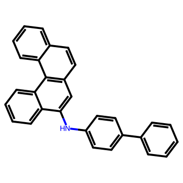 c1ccc(-c2ccc(Nc3cc4ccc5ccccc5c4c4ccccc34)cc2)cc1